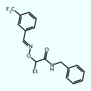 CCC(O/N=C/c1cccc(C(F)(F)F)c1)C(=O)NCc1ccccc1